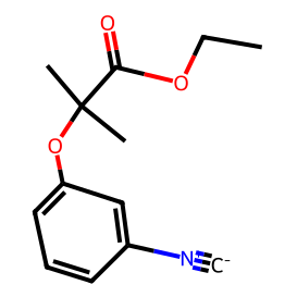 [C-]#[N+]c1cccc(OC(C)(C)C(=O)OCC)c1